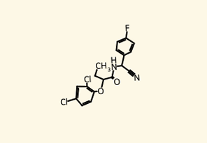 CCC(Oc1ccc(Cl)cc1Cl)C(=O)NC(C#N)c1ccc(F)cc1